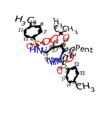 CCCCC[C@H](NS(=O)(=O)c1ccc(C)cc1)[C@H]1OC(C)(C)O[C@@H]1[C@H](CCCCC)NS(=O)(=O)c1ccc(C)cc1